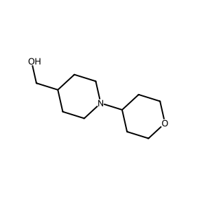 OCC1CCN(C2CCOCC2)CC1